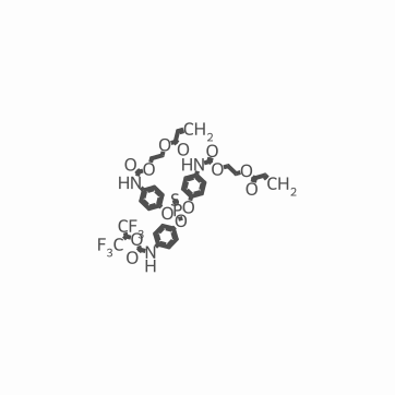 C=CC(=O)OCCOC(=O)Nc1ccc(OP(=S)(Oc2ccc(NC(=O)OCCOC(=O)C=C)cc2)Oc2ccc(NC(=O)OC(C(F)(F)F)C(F)(F)F)cc2)cc1